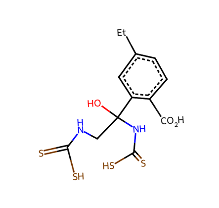 CCc1ccc(C(=O)O)c(C(O)(CNC(=S)S)NC(=S)S)c1